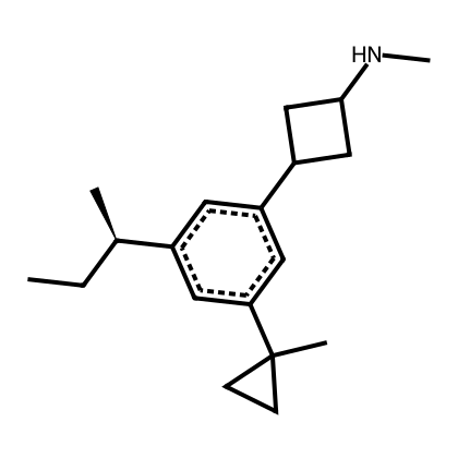 CC[C@@H](C)c1cc(C2CC(NC)C2)cc(C2(C)CC2)c1